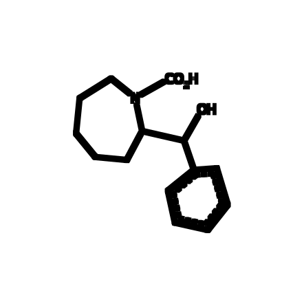 O=C(O)N1CCCCCC1C(O)c1ccccc1